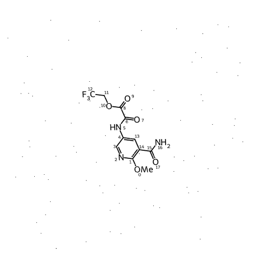 COc1ncc(NC(=O)C(=O)OCC(F)(F)F)cc1C(N)=O